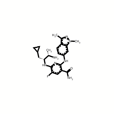 Cc1nn(C)c2cc(Nc3nc(N[C@H](CC4CC4)[C@H](C)N)c(F)cc3C(N)=O)ccc12